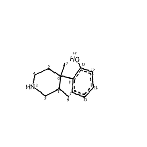 CC1CNCCC1(C)c1ccccc1O